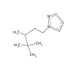 CC(CCn1cccn1)C(C)(C)C